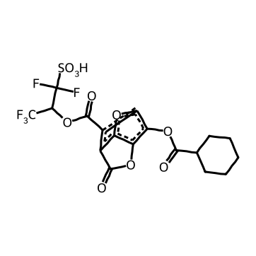 O=C1Oc2c(OC(=O)C3CCCCC3)c3oc2c1c3C(=O)OC(C(F)(F)F)C(F)(F)S(=O)(=O)O